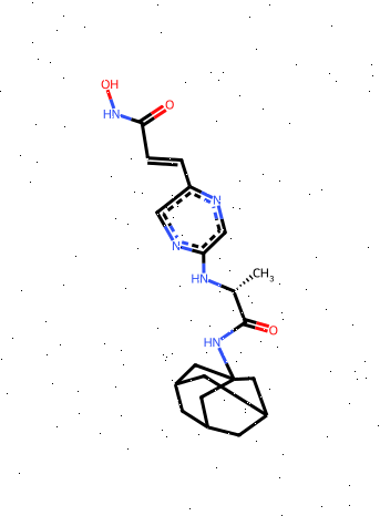 C[C@@H](Nc1cnc(/C=C/C(=O)NO)cn1)C(=O)NC12CC3CC(CC(C3)C1)C2